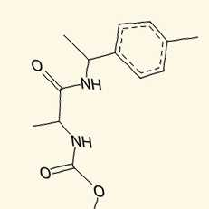 COC(=O)NC(C)C(=O)NC(C)c1ccc(C)cc1